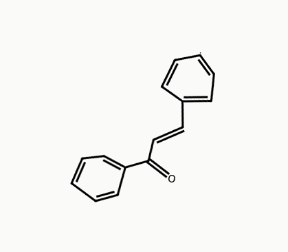 O=C(/C=C/c1cc[c]cc1)c1ccccc1